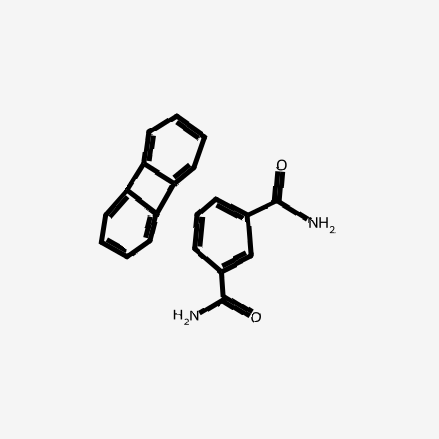 NC(=O)c1cccc(C(N)=O)c1.c1ccc2c(c1)-c1ccccc1-2